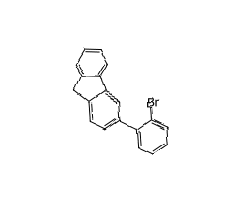 Brc1ccccc1-c1ccc2c(c1)-c1ccccc1C2